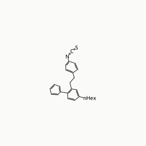 CCCCCCc1ccc(-c2ccccc2)c(CCc2ccc(N=C=S)cc2)c1